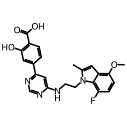 COc1ccc(F)c2c1cc(C)n2CCNc1cc(-c2ccc(C(=O)O)c(O)c2)ncn1